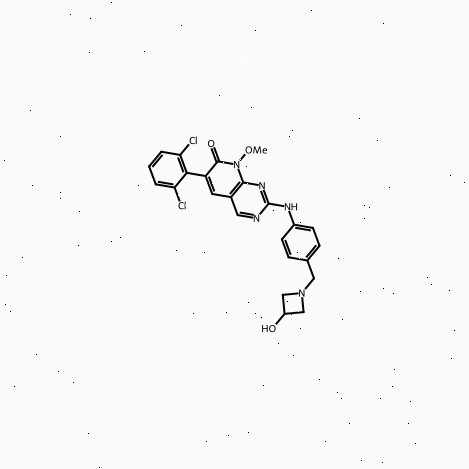 COn1c(=O)c(-c2c(Cl)cccc2Cl)cc2cnc(Nc3ccc(CN4CC(O)C4)cc3)nc21